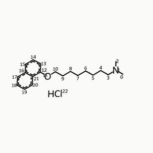 CN(C)CCCCCCCCOc1cccc2ccccc12.Cl